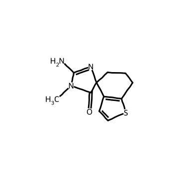 CN1C(=O)C2(CCCc3sccc32)N=C1N